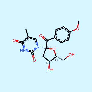 COc1ccc(C(=O)[C@]2(n3cc(C)c(=O)[nH]c3=O)C[C@H](O)[C@@H](CO)O2)cc1